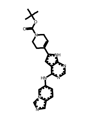 CC(C)(C)OC(=O)N1CC=C(c2cc3c(Nc4ccc5cncn5c4)ncnc3[nH]2)CC1